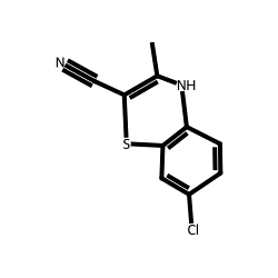 CC1=C(C#N)Sc2cc(Cl)ccc2N1